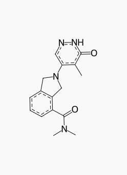 Cc1c(N2Cc3cccc(C(=O)N(C)C)c3C2)cn[nH]c1=O